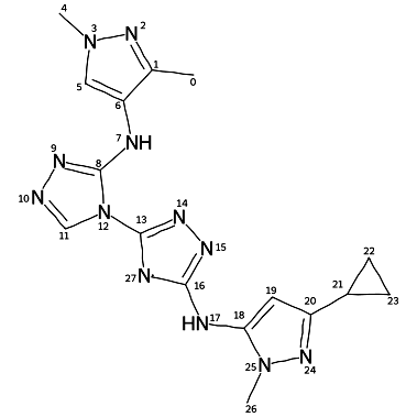 Cc1nn(C)cc1Nc1nncn1C1=NN=C(Nc2cc(C3CC3)nn2C)[N]1